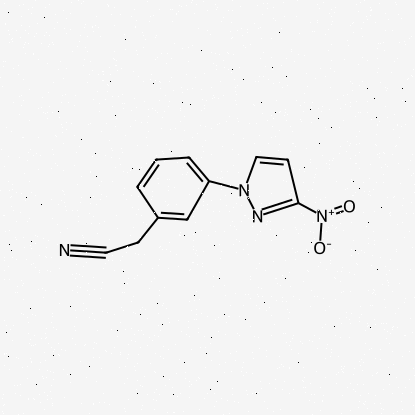 N#CCc1cccc(-n2ccc([N+](=O)[O-])n2)c1